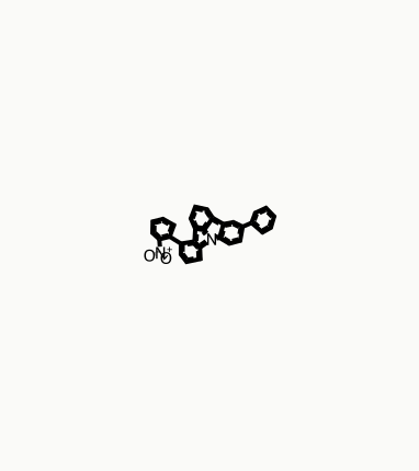 O=[N+]([O-])c1ccccc1-c1cccc2c1c1cccc3c4cc(-c5ccccc5)ccc4n2c31